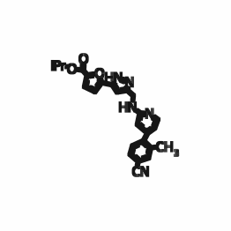 Cc1cc(C#N)ccc1-c1ccnc(NCc2cc(-c3ccc(C(=O)OC(C)C)o3)[nH]n2)c1